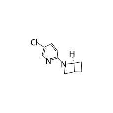 Clc1ccc(N2CC3CC[C@@H]32)nc1